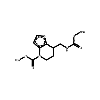 CC(C)(C)OC(=O)NCC1CCN(C(=O)OC(C)(C)C)c2ccsc21